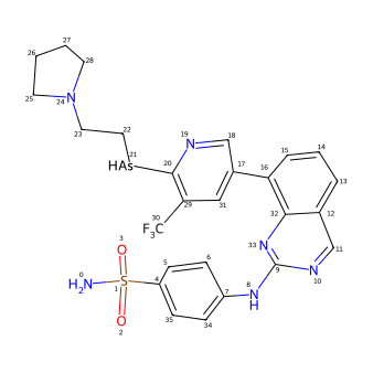 NS(=O)(=O)c1ccc(Nc2ncc3cccc(-c4cnc([AsH]CCN5CCCC5)c(C(F)(F)F)c4)c3n2)cc1